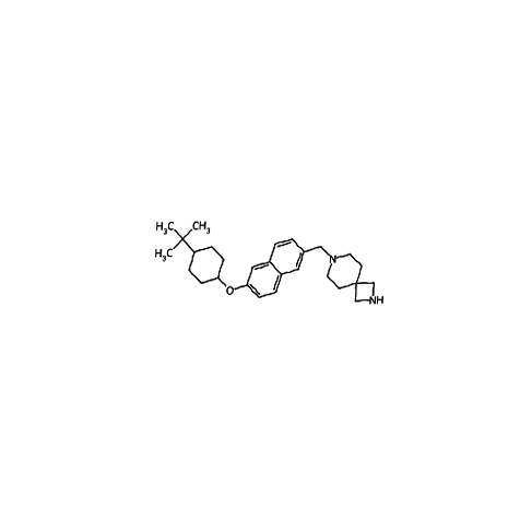 CC(C)(C)C1CCC(Oc2ccc3cc(CN4CCC5(CC4)CNC5)ccc3c2)CC1